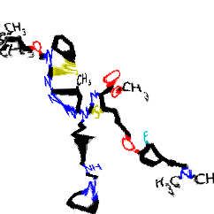 COC(=O)c1nc(N(CCCCCNCCN2CCCCC2)c2cc(C)c(/N=c3\sc4ccccc4n3COCC[Si](C)(C)C)nn2)sc1CCCOc1ccc(C#CCN(C)C)cc1F